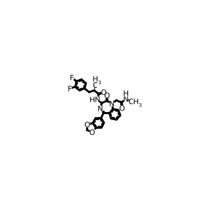 CNC(=O)CN1C(=O)C(NC(=O)[C@@H](C)Cc2ccc(F)c(F)c2)N=C(c2ccc3c(c2)OCO3)c2ccccc21